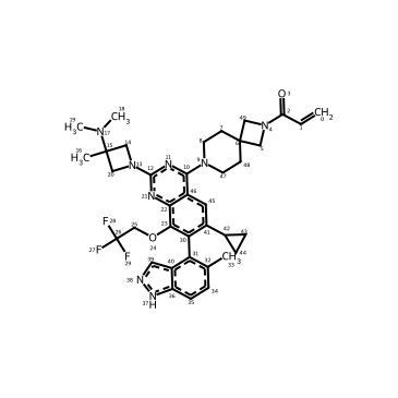 C=CC(=O)N1CC2(CCN(c3nc(N4CC(C)(N(C)C)C4)nc4c(OCC(F)(F)F)c(-c5c(C)ccc6[nH]ncc56)c(C5CC5)cc34)CC2)C1